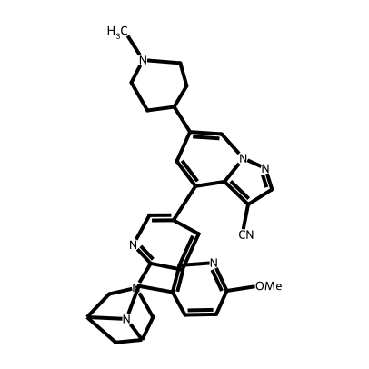 COc1ccc(CN2C3CC2CN(c2ccc(-c4cc(C5CCN(C)CC5)cn5ncc(C#N)c45)cn2)C3)cn1